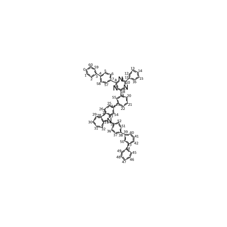 c1ccc(-c2ccc(-c3nc(-c4ccccc4)nc(-c4cccc(-c5ccc6c7ccccc7n(-c7ccc(-c8cccc(-c9ccccc9)c8)cc7)c6c5)c4)n3)cc2)cc1